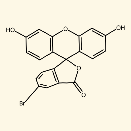 O=C1OC2(c3ccc(O)cc3Oc3cc(O)ccc32)c2ccc(Br)cc21